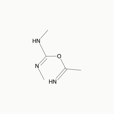 C/N=C(/NC)OC(C)=N